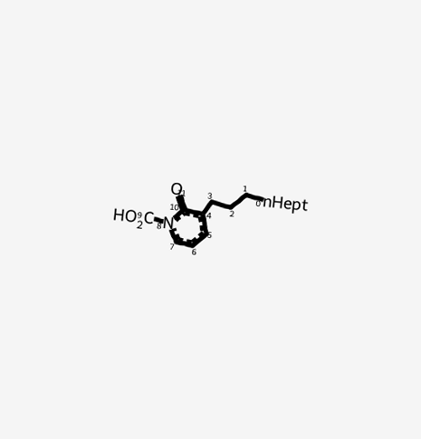 CCCCCCCCCCc1cccn(C(=O)O)c1=O